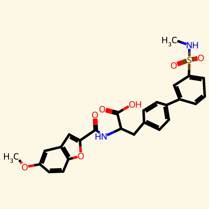 CNS(=O)(=O)c1cccc(-c2ccc(CC(NC(=O)c3cc4cc(OC)ccc4o3)C(=O)O)cc2)c1